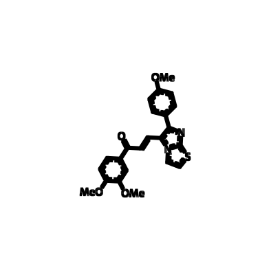 COc1ccc(-c2nc3sccn3c2C=CC(=O)c2ccc(OC)c(OC)c2)cc1